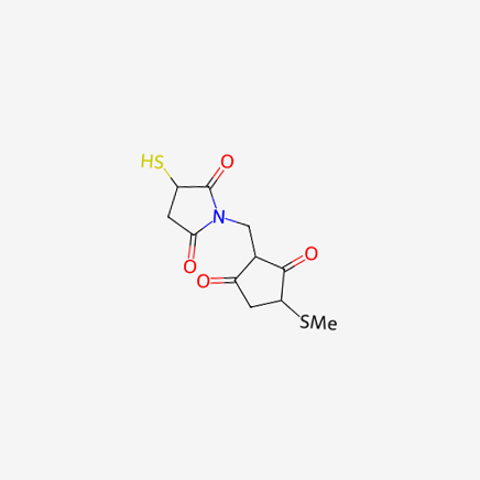 CSC1CC(=O)C(CN2C(=O)CC(S)C2=O)C1=O